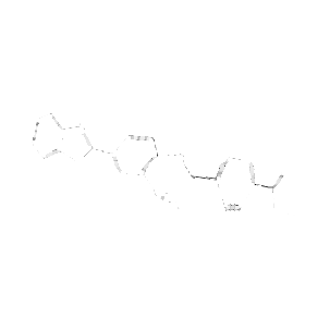 COC(=O)c1ccc(CNc2ccc(-c3nc4ccccc4o3)cc2[N+](=O)[O-])cc1